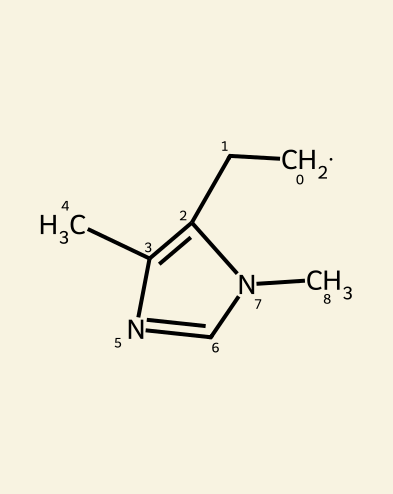 [CH2]Cc1c(C)ncn1C